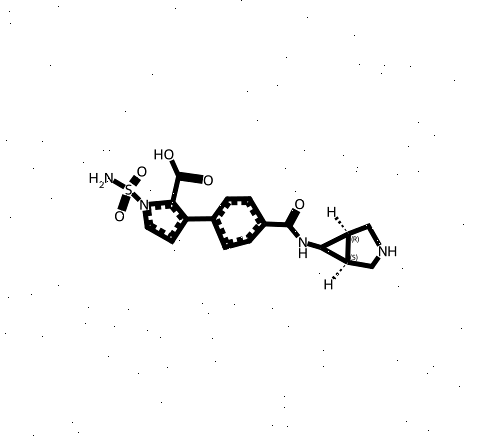 NS(=O)(=O)n1ccc(-c2ccc(C(=O)NC3[C@H]4CNC[C@@H]34)cc2)c1C(=O)O